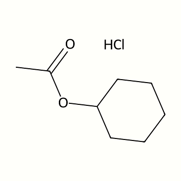 CC(=O)OC1CCCCC1.Cl